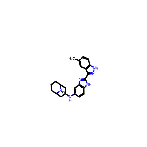 Cc1ccc2[nH]nc(-c3nc4cc(NC5CC6CCCC(C5)N6C)ccc4[nH]3)c2c1